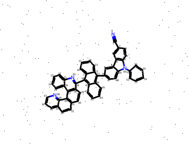 N#Cc1ccc2c(c1)c1cc(-c3c4ccccc4c(-c4nc5ccccc5c5c4ccc4ccc6cccnc6c45)c4ccccc34)ccc1n2-c1ccccc1